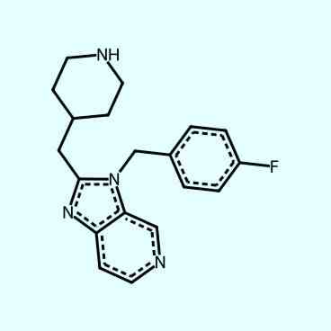 Fc1ccc(Cn2c(CC3CCNCC3)nc3ccncc32)cc1